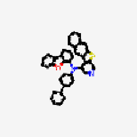 c1ccc(-c2ccc(N(c3cccc4c3oc3ccccc34)c3cncc4sc5cc6ccccc6cc5c34)cc2)cc1